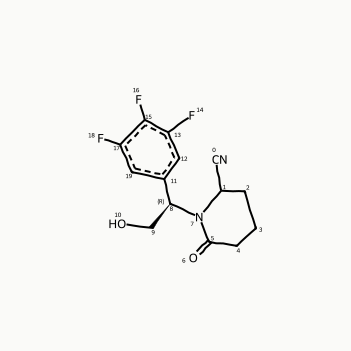 N#CC1CCCC(=O)N1[C@@H](CO)c1cc(F)c(F)c(F)c1